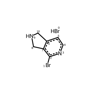 Br.Brc1nccc2c1CNC2